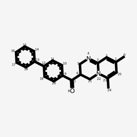 CC1=CC2=NCC(C(=O)c3ccc(-c4ccccc4)cc3)CN2C(C)=C1